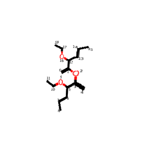 C=C(OC(=C)C(CCC)OCC)C(CCC)OCC